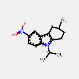 CC1CCc2c(c3cc([N+](=O)[O-])ccc3n2C(C)C)C1